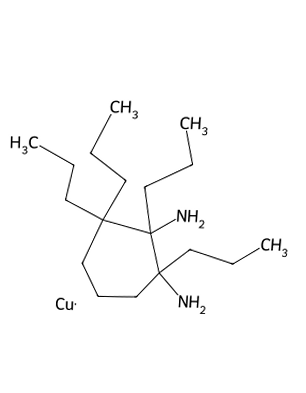 CCCC1(N)CCCC(CCC)(CCC)C1(N)CCC.[Cu]